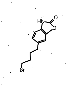 O=c1[nH]c2ccc(CCCCBr)cc2o1